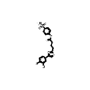 NS(=O)(=O)c1ccc(OC(=O)CCCc2ncc(-c3ccc(Cl)c(Cl)c3)o2)cc1